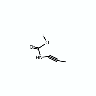 CC#CNC(=O)OI